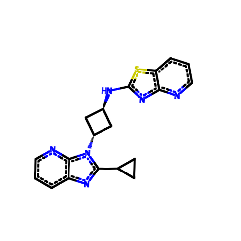 c1cnc2c(c1)nc(C1CC1)n2[C@H]1C[C@H](Nc2nc3ncccc3s2)C1